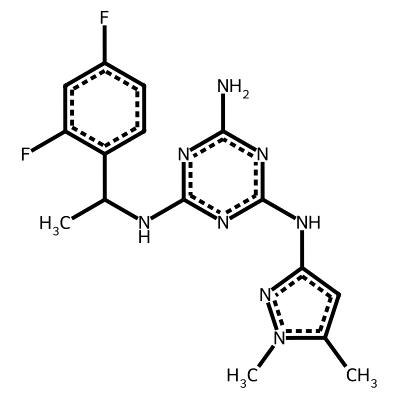 Cc1cc(Nc2nc(N)nc(NC(C)c3ccc(F)cc3F)n2)nn1C